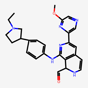 CCN1CCC(c2ccc(Nc3nc(-c4cncc(OC)n4)cc4c3C(C=O)NC=C4)cc2)C1